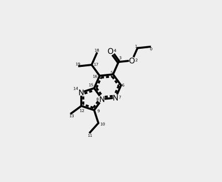 CCOC(=O)c1cnn2c(CC)c(C)nc2c1C(C)C